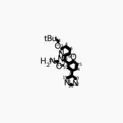 CC(C)(C)COc1ccc2c(n1)[C@@]1(COC(N)=N1)c1cc(-c3cncnc3)ccc1O2